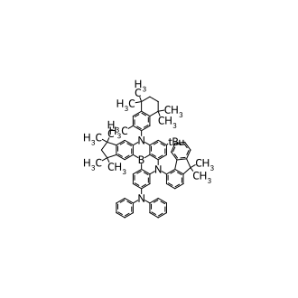 Cc1cc2c(cc1N1c3cc4c(cc3B3c5ccc(N(c6ccccc6)c6ccccc6)cc5N(c5cccc6c5-c5ccccc5C6(C)C)c5cc(C(C)(C)C)cc1c53)C(C)(C)CC4(C)C)C(C)(C)CCC2(C)C